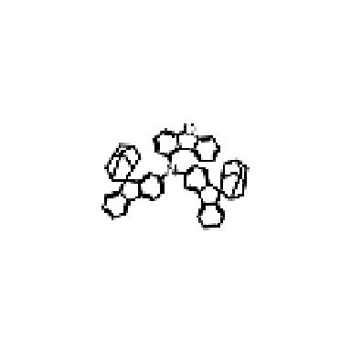 c1ccc2c(c1)-c1cc(N(c3ccc4c(c3)C3(c5ccccc5-4)C4CC5CC(C4)CC3C5)c3cccc4oc5ccccc5c34)ccc1C21C2CC3CC(C2)CC1C3